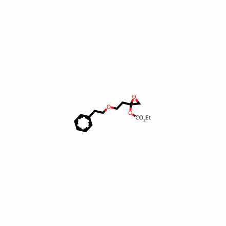 CCOC(=O)OC1(CCOCCc2ccccc2)CO1